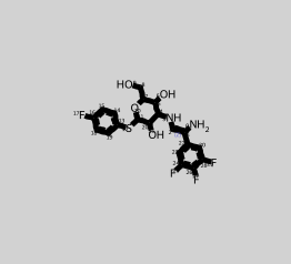 N/C(=C\NC1C(O)C(CO)OC(Sc2ccc(F)cc2)C1O)c1cc(F)c(F)c(F)c1